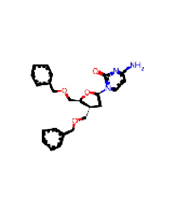 Nc1ccn([C@H]2C[C@H](COCc3ccccc3)[C@@H](COCc3ccccc3)O2)c(=O)n1